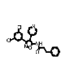 O=C(CCc1ccccc1)Nc1onc(-c2cc(Cl)cc(Cl)c2)c1-c1ccncc1